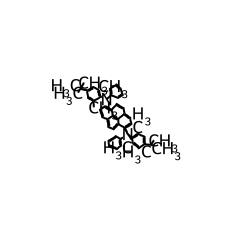 Cc1cc(C(C)(C)C)cc(C)c1N(c1ccccc1)c1ccc2ccc3c(N(c4ccccc4)c4c(C)cc(C(C)(C)C)cc4C)ccc4ccc1c2c43